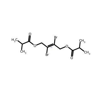 CC(C)C(=O)OC/C(Br)=C(\Br)COC(=O)C(C)C